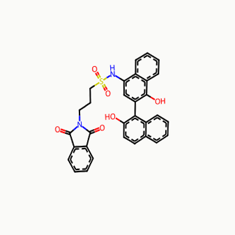 O=C1c2ccccc2C(=O)N1CCCS(=O)(=O)Nc1cc(-c2c(O)ccc3ccccc23)c(O)c2ccccc12